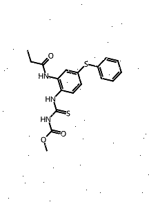 CCC(=O)Nc1cc(Sc2ccccc2)ccc1NC(=S)NC(=O)OC